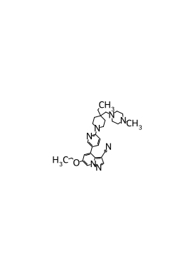 CCOc1cc(-c2ccc(N3CCC(CC)(CN4CCN(C)CC4)CC3)nc2)c2c(C#N)cnn2c1